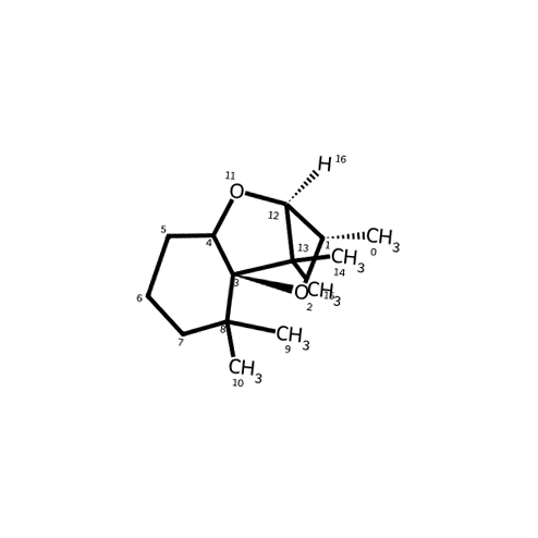 C[C@@H]1O[C@]23C(CCCC2(C)C)O[C@@H]1C3(C)C